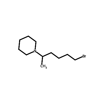 CC(CCCCBr)N1CCCCC1